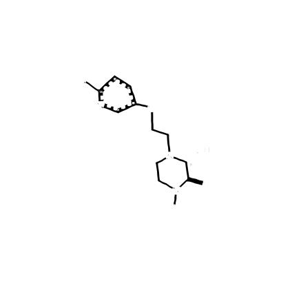 C[C@@H]1C(=O)N(C)CCN1CCOc1ccc(Cl)nc1